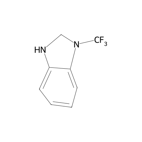 FC(F)(F)N1CNc2ccccc21